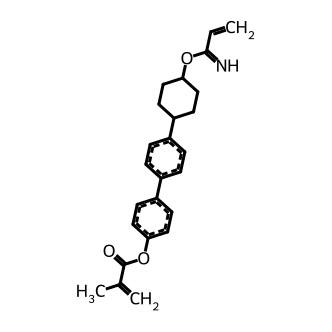 C=CC(=N)OC1CCC(c2ccc(-c3ccc(OC(=O)C(=C)C)cc3)cc2)CC1